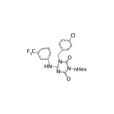 CCCCCCn1c(=O)nc(Nc2cccc(C(F)(F)F)c2)n(Cc2ccc(Cl)cc2)c1=O